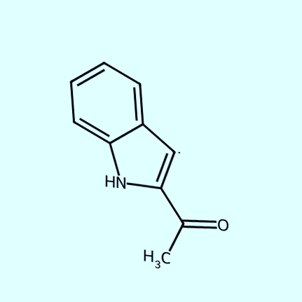 CC(=O)c1[c]c2ccccc2[nH]1